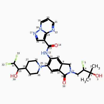 CC(C)(O)C(F)CN1Cc2cc(NC(=O)c3cnn4cccnc34)c(N3CCC(C(O)C(F)F)CC3)cc2C1=O